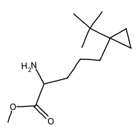 COC(=O)C(N)CCCC1(C(C)(C)C)CC1